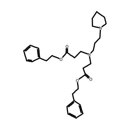 O=C(CCN(CCCN1CCCCC1)CCC(=O)OCCc1ccccc1)OCCc1ccccc1